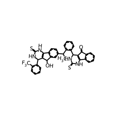 CC(c1ccc2c(c1)C(O)C1=C2NC(=S)NC1c1ccccc1C(F)(F)F)c1ccccc1C1NC(=S)NC2=C1C(=O)c1ccccc12